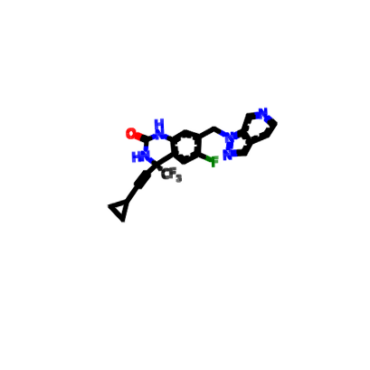 O=C1Nc2cc(Cn3ncc4ccncc43)c(F)cc2[C@@](C#CC2CC2)(C(F)(F)F)N1